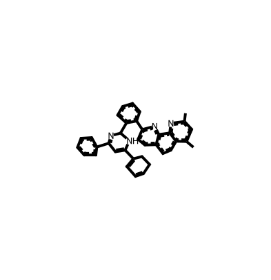 Cc1cc(C)c2ccc3ccc(-c4ccccc4C4N=C(c5ccccc5)C=C(C5=CC=CCC5)N4)nc3c2n1